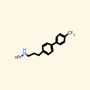 CCCNCCCc1ccc(-c2ccc(C(F)(F)F)cc2)cc1